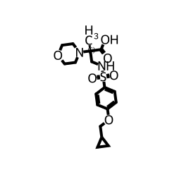 C[C@](CNS(=O)(=O)c1ccc(OCC2CC2)cc1)(C(=O)O)N1CCOCC1